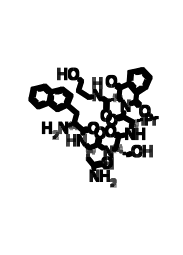 CC(C)[C@H](NC(=O)[C@H](CO)NC(=O)[C@H](CC(N)=O)NC(=O)[C@@H](N)Cc1ccc2ccccc2c1)C(=O)N1C(=O)c2ccccc2C(=O)[C@H]1C(=O)NCCCO